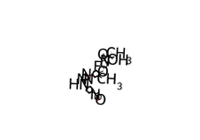 Cc1cc(-c2ncnc(Nc3ccc(N4C5COCC4C5)cc3)n2)ccc1O[C@H]1CCN(C(=O)[C@H](C)O)C[C@H]1F